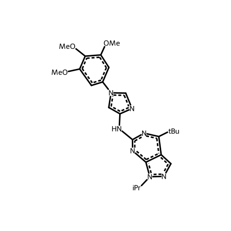 COc1cc(-n2cnc(Nc3nc(C(C)(C)C)c4cnn(C(C)C)c4n3)c2)cc(OC)c1OC